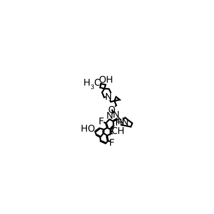 C#Cc1c(F)ccc2cc(O)cc(-c3c(F)cc4c(N5CC6CCC(C5)N6)nc(OCC5(CN6CCC7(CC6)CC(C)(O)C7)CC5)nc4c3F)c12